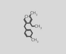 C/C=C(CC1=CCC(C)C=C1)\C(=C/CC)CC